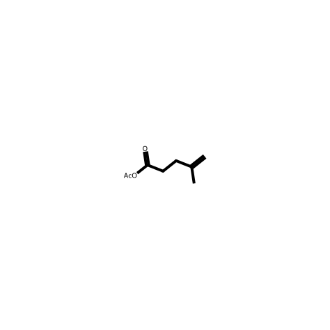 C=C(C)CCC(=O)OC(C)=O